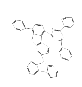 c1ccc(-c2nc(-c3ccccc3)nc(-c3ccc(-c4ccccc4)c4sc5cc(-n6c7ccccc7c7ccccc76)ccc5c34)n2)cc1